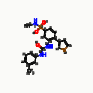 CCCNS(=O)(=O)c1ccc(-c2ccsc2)c(NC(=O)Nc2cccc(C(F)(F)F)c2)c1